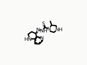 CC1CNCCN1C(=S)N/N=C1/CCNc2cccnc21